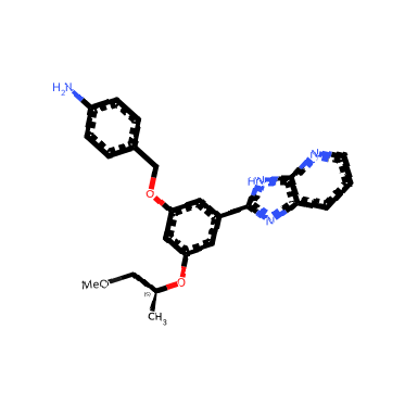 COC[C@H](C)Oc1cc(OCc2ccc(N)cc2)cc(-c2nc3cccnc3[nH]2)c1